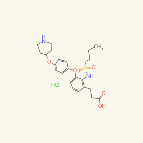 CCCCS(=O)(=O)Nc1c(CCC(=O)O)cccc1Oc1ccc(OC2CCNCC2)cc1.Cl